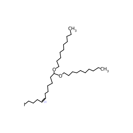 CCCCCCCCCCOC(CCCCC/C=C\CCCI)OCCCCCCCCCC